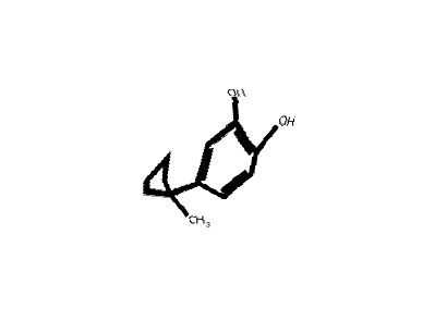 CC1(c2ccc(O)c(O)c2)CC1